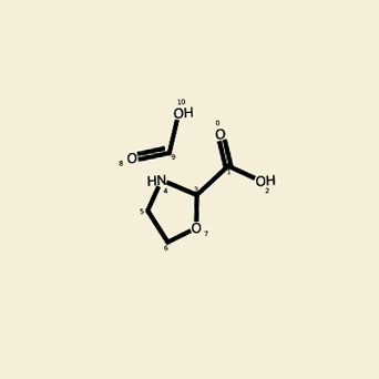 O=C(O)C1NCCO1.O=CO